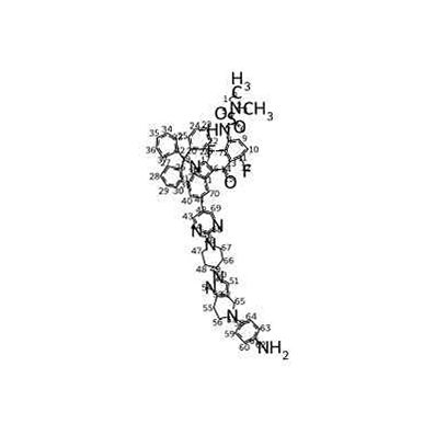 CCN(C)S(=O)(=O)Nc1ccc(F)c(C(=O)c2cn(C(c3ccccc3)(c3ccccc3)c3ccccc3)c3ccc(-c4cnc(N5CCC(n6cc7c(n6)CCN(c6ccc(N)cc6)C7)CC5)nc4)cc23)c1F